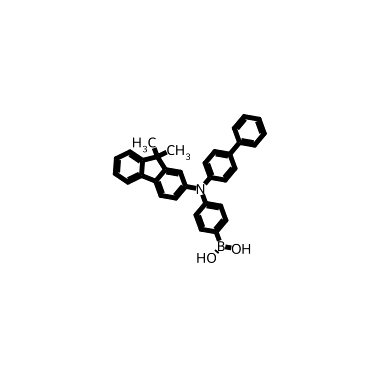 CC1(C)c2ccccc2-c2ccc(N(c3ccc(B(O)O)cc3)c3ccc(-c4ccccc4)cc3)cc21